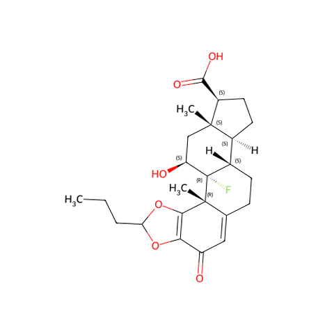 CCCC1OC2=C(O1)[C@@]1(C)C(=CC2=O)CC[C@H]2[C@@H]3CC[C@H](C(=O)O)[C@@]3(C)C[C@H](O)[C@@]21F